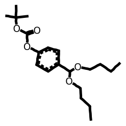 CCCCOC(OCCCC)c1ccc(OC(=O)OC(C)(C)C)cc1